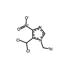 [2H]Cn1cnc([N+](=O)[O-])c1C(Cl)Cl